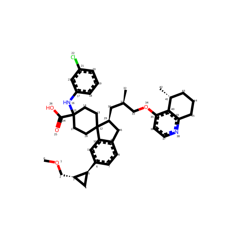 COC[C@H]1C[C@@H]1c1ccc2c(c1)C1(CCC(Nc3cccc(Cl)c3)(C(=O)O)CC1)[C@@H](C[C@@H](C)COc1ccnc3c1[C@H](C)CCC3)C2